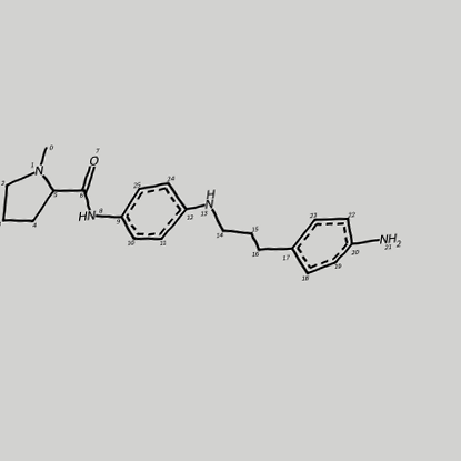 CN1CCCC1C(=O)Nc1ccc(NCCCc2ccc(N)cc2)cc1